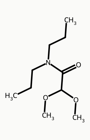 CCCN(CCC)C(=O)C(OC)OC